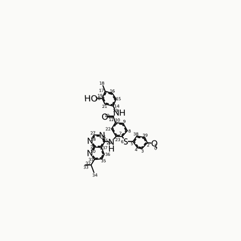 COc1ccc(Sc2ccc(C(=O)Nc3ccc(C)c(O)c3)cc2Nc2ncnc3nc(C(C)C)ccc23)cc1